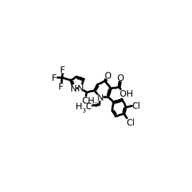 CCn1c(C(C)n2ccc(C(F)(F)F)n2)cc(=O)c(C(=O)O)c1-c1ccc(Cl)c(Cl)c1